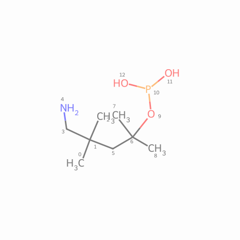 CC(C)(CN)CC(C)(C)OP(O)O